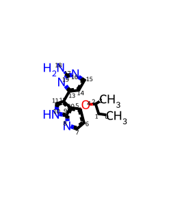 CCC(C)Oc1ccnc2[nH]cc(-c3ccnc(N)n3)c12